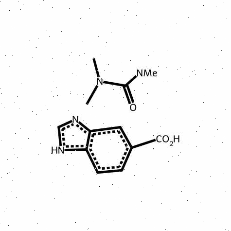 CNC(=O)N(C)C.O=C(O)c1ccc2[nH]cnc2c1